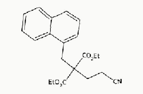 CCOC(=O)C(CCC#N)(Cc1cccc2ccccc12)C(=O)OCC